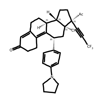 CC(=O)[C@@]1(C#CC(F)(F)F)CC[C@H]2[C@@H]3CCC4=CC(=O)CCC4=C3[C@@H](c3ccc(N4CCCC4)cc3)C[C@@]21C